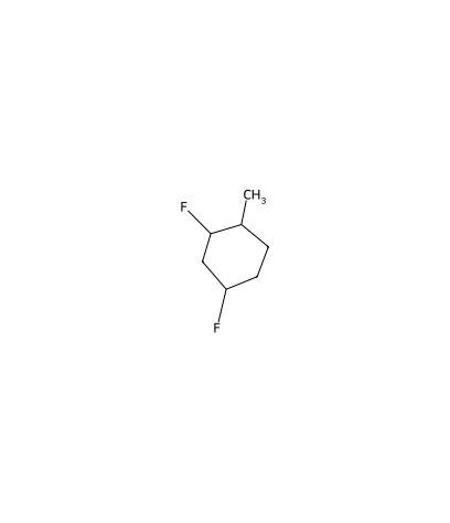 CC1CCC(F)CC1F